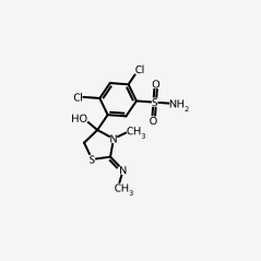 C/N=C1\SCC(O)(c2cc(S(N)(=O)=O)c(Cl)cc2Cl)N1C